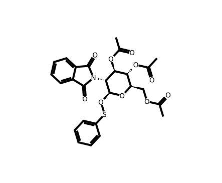 CC(=O)OC[C@H]1O[C@@H](OSc2ccccc2)[C@H](N2C(=O)c3ccccc3C2=O)[C@@H](OC(C)=O)[C@@H]1OC(C)=O